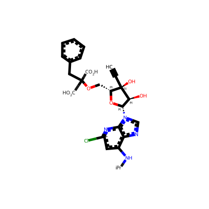 C#C[C@@]1(O)[C@@H](COC(Cc2ccccc2)(C(=O)O)C(=O)O)O[C@@H](n2cnc3c(NC(C)C)cc(Cl)nc32)[C@@H]1O